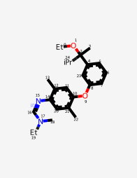 CCOC(C)(c1cccc(Oc2cc(C)c(/N=C\N(C)CC)cc2C)c1)C(C)C